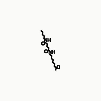 CCCCCNC(=O)CCCC(=O)NCCCCCCCC(C)=O